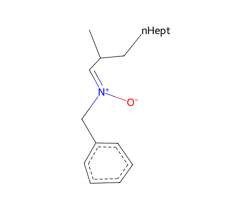 CCCCCCCCC(C)C=[N+]([O-])Cc1ccccc1